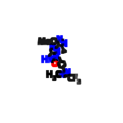 COc1ncnc(C2CC2)c1-c1ncc2c(n1)N(Cc1ccc(-c3nc(C(F)(F)F)cn3C)cc1)C(=O)NC2